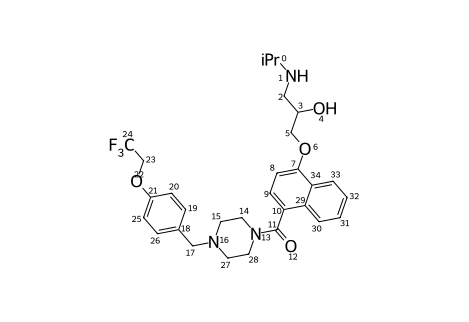 CC(C)NCC(O)COc1ccc(C(=O)N2CCN(Cc3ccc(OCC(F)(F)F)cc3)CC2)c2ccccc12